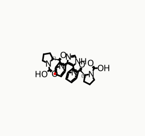 O=C(O)N1CCC[C@H]1C(=O)[N+]1(c2nc[nH]c2[N+]2(C(=O)[C@@H]3CCCN3C(=O)O)C3=CC=C2C=C3)C2=CC=C1C=C2